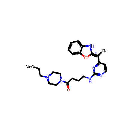 COCCN1CCN(C(=O)CCCNc2nccc(/C(C#N)=C3/Nc4ccccc4O3)n2)CC1